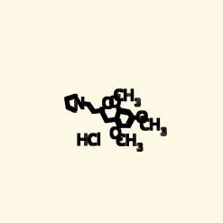 COc1cc(OC)c(CC(=O)CCN2CCCC2)c(OC)c1.Cl